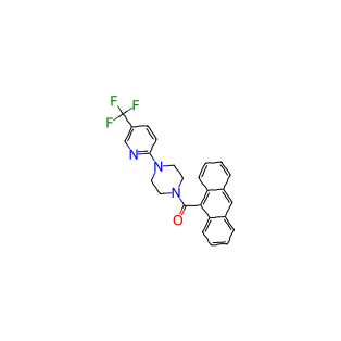 O=C(c1c2ccccc2cc2ccccc12)N1CCN(c2ccc(C(F)(F)F)cn2)CC1